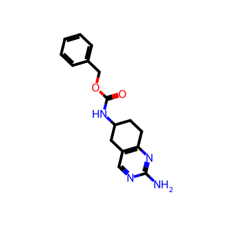 Nc1ncc2c(n1)CCC(NC(=O)OCc1ccccc1)C2